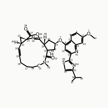 COc1ccc2c(O[C@H]3C[C@H]4C(=O)N(C)CCCC/C=C\[C@@H]5C[C@@]56N=C(OC6=O)[C@@H]4C3)cc(-c3nc(C(C)C)cs3)nc2c1